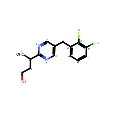 O=CC(CCO)c1ncc(Cc2cccc(Cl)c2F)cn1